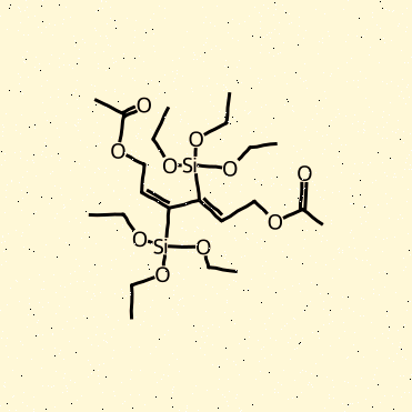 CCO[Si](OCC)(OCC)C(=CCOC(C)=O)C(=CCOC(C)=O)[Si](OCC)(OCC)OCC